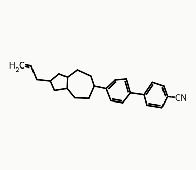 C=CCC1CC2CCC(c3ccc(-c4ccc(C#N)cc4)cc3)CCC2C1